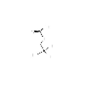 CC(=N)NCC(C)(C)C(C)(C)C